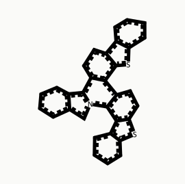 c1ccc2c(c1)cn1c2c2ccc3c4ccccc4sc3c2c2ccc3sc4ccccc4c3c21